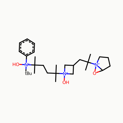 CC(C)(CCC(C)(C)[N+](O)(c1ccccc1)C(C)(C)C)[N+]1(O)CC(CC(C)(C)[N+]23CCCC2O3)C1